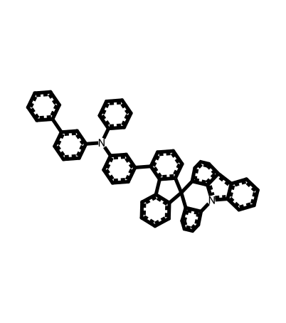 c1ccc(-c2cccc(N(c3ccccc3)c3cccc(-c4cccc5c4-c4ccccc4C54c5ccccc5-n5c6ccccc6c6cccc4c65)c3)c2)cc1